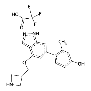 Cc1cc(O)ccc1-c1cc(OCC2CNC2)c2cn[nH]c2c1.O=C(O)C(F)(F)F